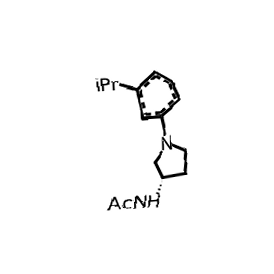 CC(=O)N[C@H]1CCN(c2cccc(C(C)C)c2)C1